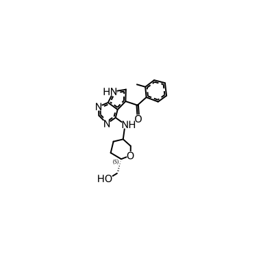 Cc1ccccc1C(=O)c1c[nH]c2ncnc(NC3CC[C@@H](CO)OC3)c12